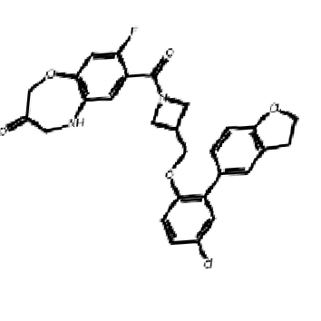 O=C1CNc2cc(C(=O)N3CC(COc4ccc(Cl)cc4-c4ccc5c(c4)CCO5)C3)c(F)cc2OC1